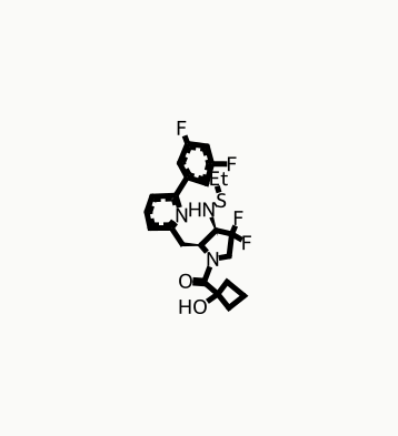 CCSN[C@@H]1[C@H](Cc2cccc(-c3cc(F)cc(F)c3)n2)N(C(=O)C2(O)CCC2)CC1(F)F